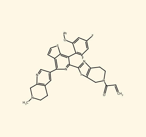 C=CC(=O)N1CCc2nc(-c3nc(-c4cnc5c(c4)CCN(C)C5)c4ccsc4c3-c3c(F)cc(F)cc3OC(C)C)sc2C1